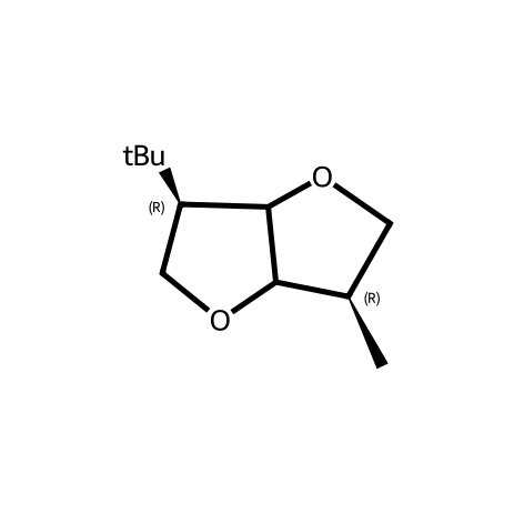 C[C@@H]1COC2C1OC[C@H]2C(C)(C)C